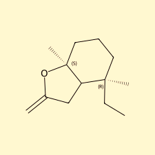 C=C1CC2[C@](C)(CC)CCC[C@]2(C)O1